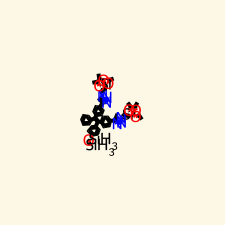 CCO[Si](CCn1cc(-c2ccc(C(=C(c3ccccc3)c3ccc(-c4cn(CC[Si](OCC)(OCC)OCC)nn4)cc3)c3ccccc3)cc2)nn1)(OCC)OCC.[SiH3]O[SiH3]